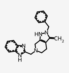 C=C1C2=C(CN(Cc3nc4ccccc4[nH]3)CC2)NN1Cc1ccccc1